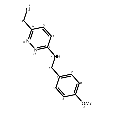 COc1ccc(CNc2ccc(CCl)nn2)cc1